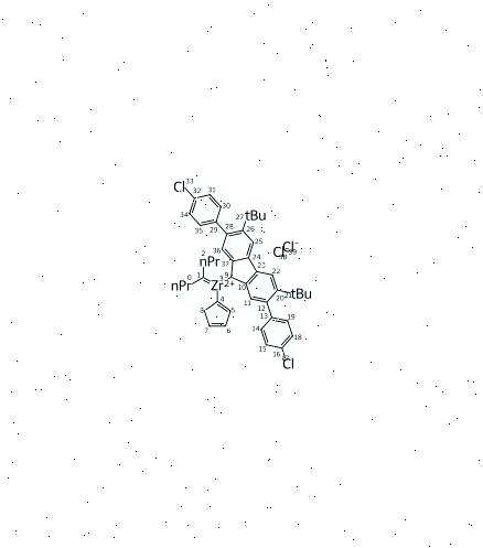 CCC[C](CCC)=[Zr+2]([C]1=CC=CC1)[CH]1c2cc(-c3ccc(Cl)cc3)c(C(C)(C)C)cc2-c2cc(C(C)(C)C)c(-c3ccc(Cl)cc3)cc21.[Cl-].[Cl-]